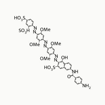 COc1cc(N=Nc2ccc(S(=O)(=O)O)cc2S(=O)(=O)O)c(OC)cc1N=Nc1cc(OC)c(N=Nc2c(S(=O)(=O)O)cc3cc(NC(=O)c4ccc(N)cc4)ccc3c2O)cc1OC